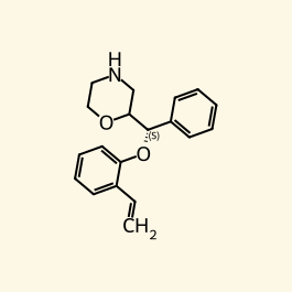 C=Cc1ccccc1O[C@@H](c1ccccc1)C1CNCCO1